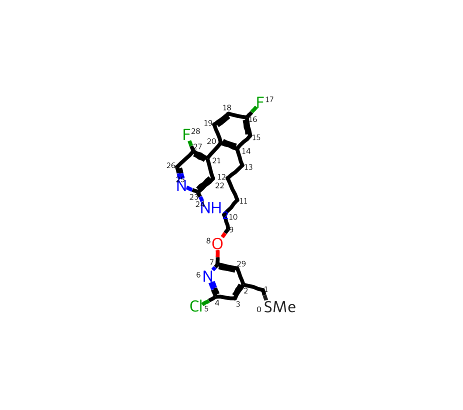 CSCc1cc(Cl)nc(OCCCCCc2cc(F)ccc2-c2cc(N)ncc2F)c1